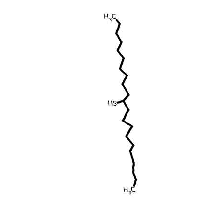 CCCCCCCCCCC(S)CCCCCCCCCC